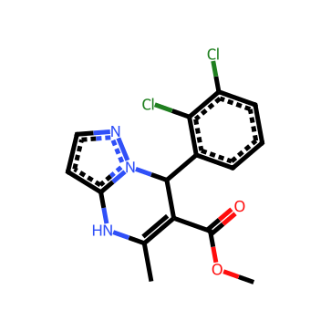 COC(=O)C1=C(C)Nc2ccnn2C1c1cccc(Cl)c1Cl